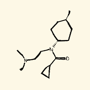 CN(C)CCN(C(=O)C1CC1)[C@H]1CC[C@H](C)CC1